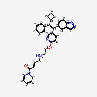 O=C(/C=C/CNCCOc1ccc(/C(=C(\c2ccccc2)C2CCC2)c2ccc3[nH]ncc3c2)cn1)N1C=CC=CC1